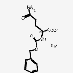 NC(=O)CC[C@H](NC(=O)OCc1ccccc1)C(=O)[O-].[Na+]